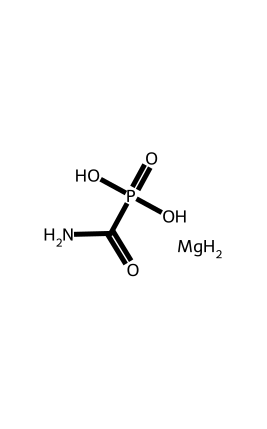 NC(=O)P(=O)(O)O.[MgH2]